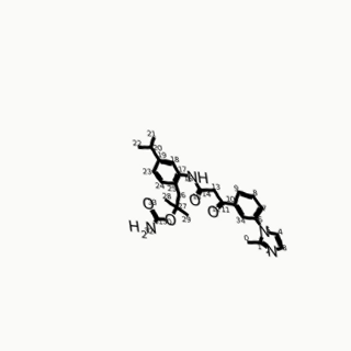 Cc1nccn1-c1cccc(C(=O)CC(=O)Nc2cc(C(C)C)ccc2CC(C)(C)OC(N)=O)c1